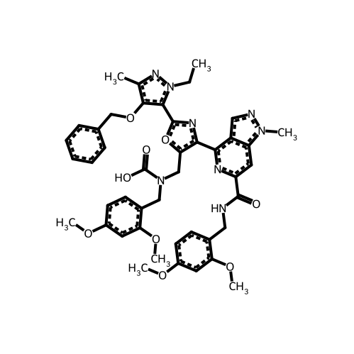 CCn1nc(C)c(OCc2ccccc2)c1-c1nc(-c2nc(C(=O)NCc3ccc(OC)cc3OC)cc3c2cnn3C)c(CN(Cc2ccc(OC)cc2OC)C(=O)O)o1